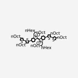 CCCCCCCCc1csc(-c2sc(-c3ccc4c(c3)N(CC(CCCCCC)CCCCCCCC)C(=O)/C4=C3/C(=O)N(CC(CCCCCC)CCCCCCCC)c4cc(-c5cc(CCCCCCCC)c(-c6cc(CCCCCCCC)cs6)s5)ccc43)cc2CCCCCCCC)c1